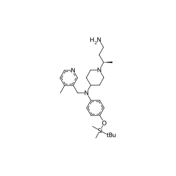 Cc1ccncc1CN(c1ccc(O[Si](C)(C)C(C)(C)C)cc1)C1CCN([C@H](C)CCN)CC1